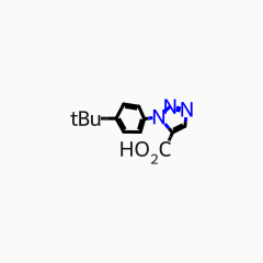 CC(C)(C)c1ccc(-n2nncc2C(=O)O)cc1